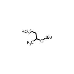 CC(C)(C)OC(CS(=O)(=O)O)C(F)(F)F